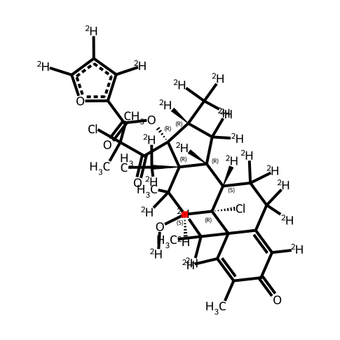 [2H]O[C@@]1([2H])C([2H])(C)[C@]2(C([2H])([2H])C)[C@@](OC(=O)c3oc([2H])c([2H])c3[2H])(C(=O)C(C)(C)Cl)[C@]([2H])(C([2H])([2H])[2H])C([2H])([2H])[C@]2([2H])[C@]2([2H])C([2H])([2H])C([2H])([2H])C3=C([2H])C(=O)C(C)=C([2H])C3(C([2H])([2H])C)[C@]21Cl